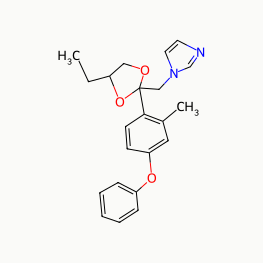 CCC1COC(Cn2ccnc2)(c2ccc(Oc3ccccc3)cc2C)O1